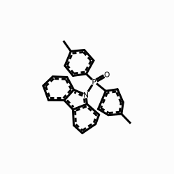 Cc1ccc(P(=O)(c2ccc(C)cc2)n2c3ccccc3c3ccccc32)cc1